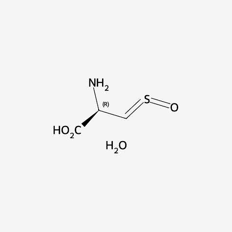 N[C@@H](C=S=O)C(=O)O.O